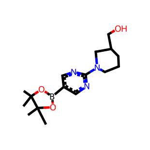 CC1(C)OB(c2cnc(N3CCCC(CO)C3)nc2)OC1(C)C